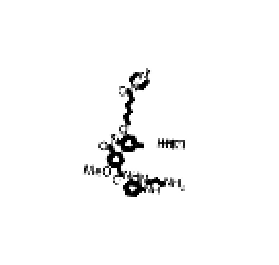 COc1cc(C(=O)N(C)c2ccc(C)cc2OCCCCCC(=O)N2CCN(C)CC2)ccc1C(=O)Nc1cccc2[nH]c(CCN)nc12.Cl.Cl.Cl